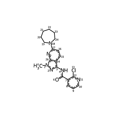 Cn1nc(NC(=O)c2cccnc2Cl)c2ccc(N3CCCCCC3)nc21